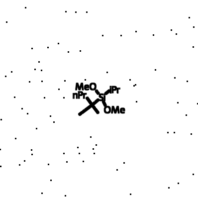 CCCC(C)(C)[Si](OC)(OC)C(C)C